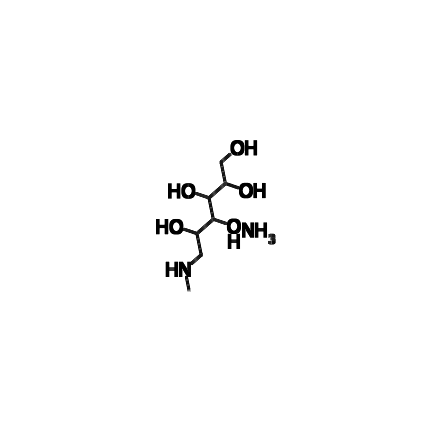 CNCC(O)C(O)C(O)C(O)CO.N